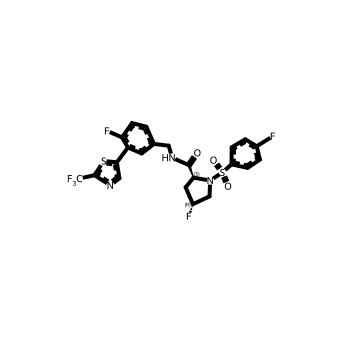 O=C(NCc1ccc(F)c(-c2cnc(C(F)(F)F)s2)c1)[C@@H]1C[C@@H](F)CN1S(=O)(=O)c1ccc(F)cc1